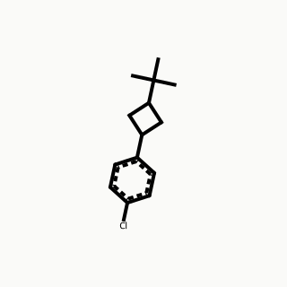 CC(C)(C)C1CC(c2ccc(Cl)cc2)C1